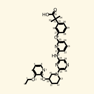 CCOc1cccnc1OC1CCCN(c2cncc(Nc3cccc(Oc4cccc(C(C)(C)C(=O)O)c4)n3)n2)C1